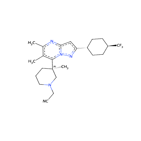 Cc1nc2cc([C@H]3CC[C@H](C(F)(F)F)CC3)nn2c([C@]2(C)CCCN(CC#N)C2)c1C